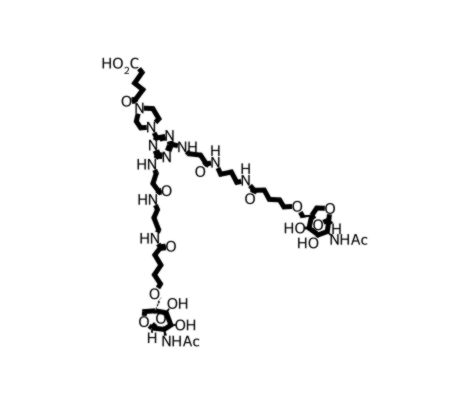 CC(=O)N[C@H]1[C@H]2OC[C@](COCCCCC(=O)NCCCNC(=O)CCNc3nc(NCCC(=O)NCCCNC(=O)CCCCOC[C@@]45CO[C@@H](O4)[C@H](NC(C)=O)[C@@H](O)[C@H]5O)nc(N4CCN(C(=O)CCCC(=O)O)CC4)n3)(O2)[C@H](O)[C@@H]1O